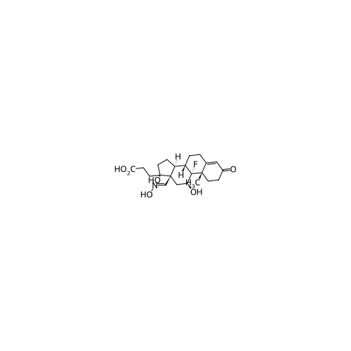 C[C@]12CCC(=O)C=C1CC[C@H]1[C@@H]3CC[C@@](O)(CCC(=O)O)[C@@]3(C=NO)C[C@H](O)[C@@]12F